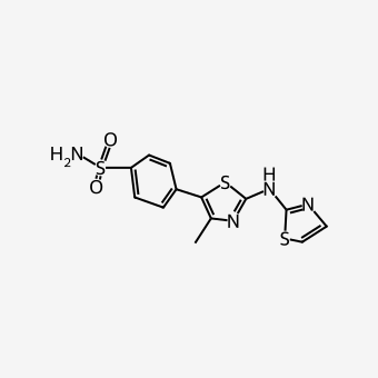 Cc1nc(Nc2nccs2)sc1-c1ccc(S(N)(=O)=O)cc1